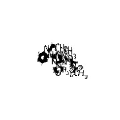 CCc1nc2ccccc2n1-c1nc(N2CCOCC2)c2nc(OC3CN(C(=O)C(C)(C)F)C3)n(C)c2n1